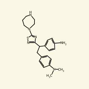 CN(C)c1ccc(CC(c2ccc(N)cc2)c2nsc(N3CCCNCC3)n2)cc1